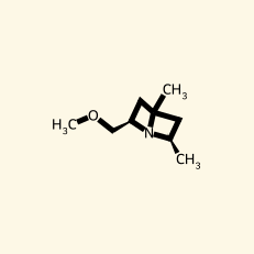 COC[C@H]1CC2(C)C[C@@H](C)N12